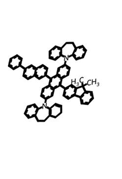 CC1(C)c2ccccc2-c2ccc(-c3c4ccc(N5c6ccccc6CCc6ccccc65)cc4c(-c4ccc5cc(-c6ccccc6)ccc5c4)c4ccc(N5C6=C(CCC=C6)CCc6ccccc65)cc34)cc21